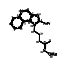 CCCc1nc2cnc3ccccc3c2n1CCC/C(C)=N/OC